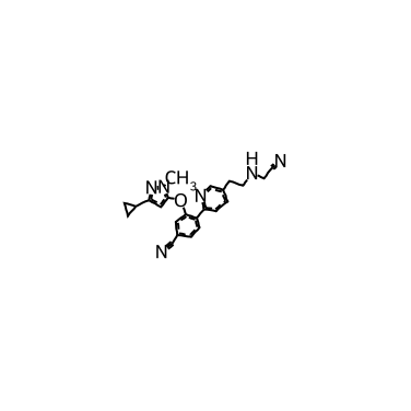 Cn1nc(C2CC2)cc1Oc1cc(C#N)ccc1-c1ccc(CCNCC#N)cn1